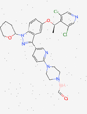 C[C@@H](Oc1ccc2c(c1)c(-c1ccc(N3CCN(BC=O)CC3)nc1)nn2C1CCCCO1)c1c(Cl)cncc1Cl